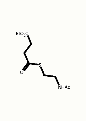 CCOC(=O)CCC(=O)SCCNC(C)=O